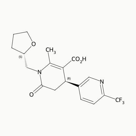 CC1=C(C(=O)O)[C@@H](c2ccc(C(F)(F)F)nc2)CC(=O)N1C[C@@H]1CCCO1